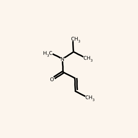 CC=CC(=O)N(C)C(C)C